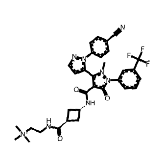 Cn1c(-c2ccnn2-c2ccc(C#N)cc2)c(C(=O)N[C@H]2C[C@H](C(=O)NCC[N+](C)(C)C)C2)c(=O)n1-c1cccc(C(F)(F)F)c1